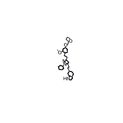 COc1cc(OCC2CCCO2)ccc1/C=C/c1cc(/C=C/c2ccc3cc[nH]c3c2)n(-c2ccccc2)n1